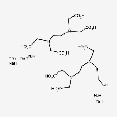 O=C(O)CN(CCN(CC(=O)O)CC(=O)O)CC(=O)O.O=C(O)CN(CCO)CCN(CC(=O)O)CC(=O)O.[NaH].[NaH].[NaH].[NaH].[NaH].[NaH]